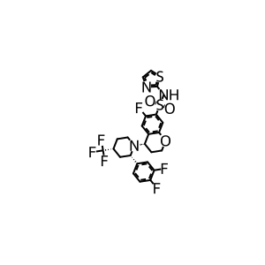 O=S(=O)(Nc1nccs1)c1cc2c(cc1F)[C@@H](N1CC[C@@H](C(F)(F)F)C[C@H]1c1ccc(F)c(F)c1)CCO2